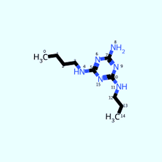 CCCCNc1nc(N)nc(NCCC)n1